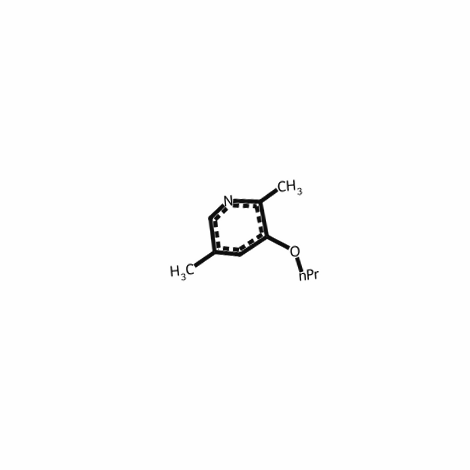 CCCOc1cc(C)cnc1C